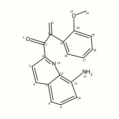 C=C(C(=O)c1ccc2cccc(N)c2n1)c1ccccc1OC